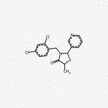 CC1SC(c2cccnc2)N(Cc2ccc(Cl)cc2Cl)C1=O